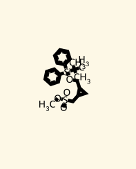 COS(=O)(=O)CC1CC1CO[Si](c1ccccc1)(c1ccccc1)C(C)(C)C